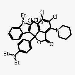 CCN(CC)c1ccc(C2(c3c(C)n(CC)c4ccccc34)OC(=O)c3c(N4CCCCC4)c(Cl)c(Cl)c(Cl)c32)cc1